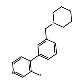 Fc1cnccc1-c1cc[c]c(CN2CCCCC2)c1